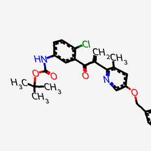 C=C(C(=O)c1cc(NC(=O)OC(C)(C)C)ccc1Cl)c1ncc(OCc2ccccc2)cc1C